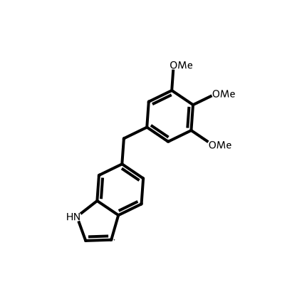 COc1cc(Cc2ccc3[c]c[nH]c3c2)cc(OC)c1OC